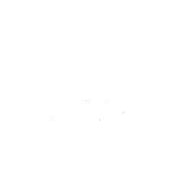 CCC(CC)Oc1nc(N(C)c2c(C)cc(C)cc2C)ncc1C(=O)O